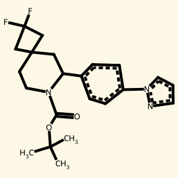 CC(C)(C)OC(=O)N1CCC2(CC1c1ccc(-n3cccn3)cc1)CC(F)(F)C2